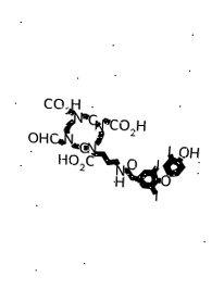 O=CCN1CCN(CC(=O)O)CCN(CC(=O)O)CCN(C(CCCNC(=O)Cc2cc(I)c(Oc3ccc(O)c(I)c3)c(I)c2)C(=O)O)CC1